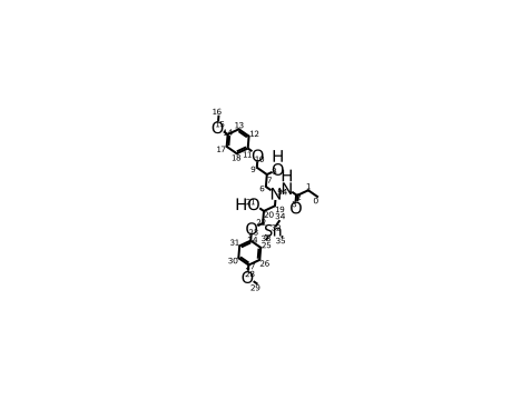 CCC(=O)NN(CC(O)COc1ccc(OC)cc1)CC(O)[CH](Oc1ccc(OC)cc1)[Sn]([CH3])([CH3])[CH3]